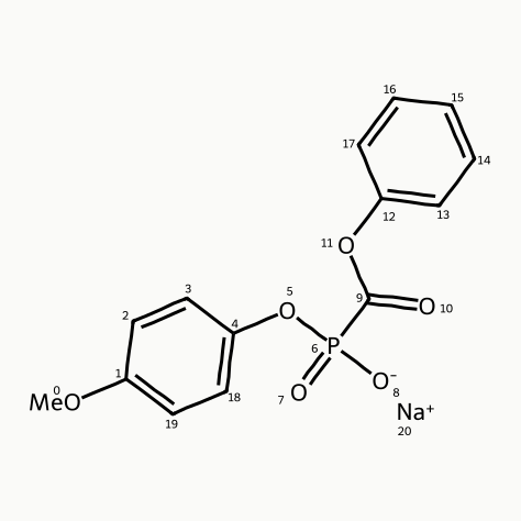 COc1ccc(OP(=O)([O-])C(=O)Oc2ccccc2)cc1.[Na+]